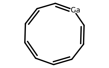 C1=CC=C[CH]=[Ga][CH]=CC=C1